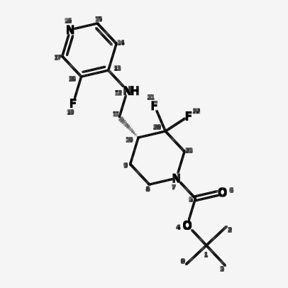 CC(C)(C)OC(=O)N1CC[C@H](CNc2ccncc2F)C(F)(F)C1